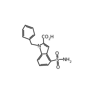 NS(=O)(=O)c1cccc2c1cc(C(=O)O)n2Cc1ccccc1